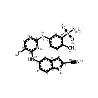 Cc1ccc(Nc2ncc(F)c(Nc3ccc4oc(C#N)cc4c3)n2)cc1S(N)(=O)=O